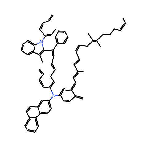 C=C/C=C\C(=C/C/C=C/C=C(/c1ccccc1)c1c(C)c2ccccc2n1C(/C=C\C=C)=C/C)N(C(=C)/C=C\C(=C)/C(C)=C/C=C(C)/C=C/C=C\C/C(C)=C(\C)CCC/C=C\C)c1ccc2c(ccc3ccccc32)c1